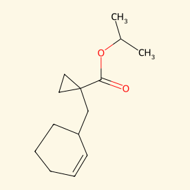 CC(C)OC(=O)C1(CC2C=CCCC2)CC1